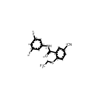 N#Cc1ccc(SCC(F)(F)F)c(C(=O)Nc2cc(F)cc(F)c2)c1